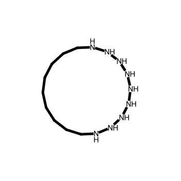 C1CCCCNNNNNNNNNCCCC1